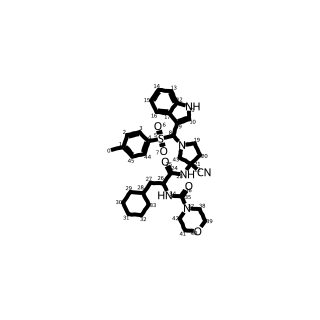 Cc1ccc(S(=O)(=O)C(c2c[nH]c3ccccc23)N2CCC(C#N)(NC(=O)C(CC3CCCCC3)NC(=O)N3CCOCC3)C2)cc1